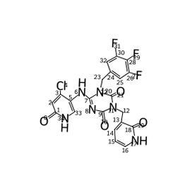 O=c1cc(Cl)c(Nc2nc(=O)n(Cc3ccc[nH]c3=O)c(=O)n2Cc2cc(F)c(F)c(F)c2)c[nH]1